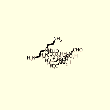 CC(=O)O.CC(=O)O.CC(=O)O.CC(=O)O.CC(=O)O.NC=O.NC=O.NCCNCCN